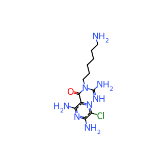 N=C(N)N(CCCCCCN)C(=O)c1nc(Cl)c(N)nc1N